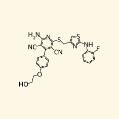 N#Cc1c(N)nc(SCc2csc(Nc3ccccc3F)n2)c(C#N)c1-c1ccc(OCCO)cc1